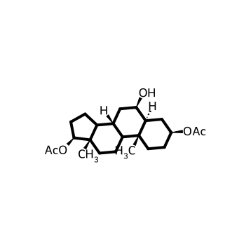 CC(=O)O[C@H]1CC[C@]2(C)C3CC[C@@]4(C)C(CC[C@@H]4OC(C)=O)[C@@H]3C[C@@H](O)[C@H]2C1